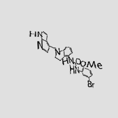 COc1ccc(Br)cc1NC(=O)Nc1cccc2c1CCN2Cc1ccnc2[nH]ccc12